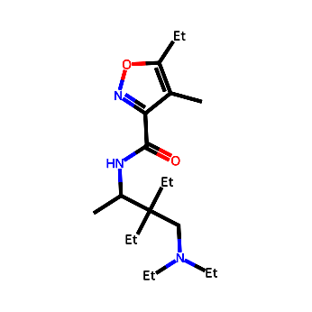 CCc1onc(C(=O)NC(C)C(CC)(CC)CN(CC)CC)c1C